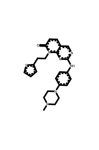 CN1CCN(c2ccc(Nc3ncc4ccc(=O)n(CCc5cccs5)c4n3)cc2)CC1